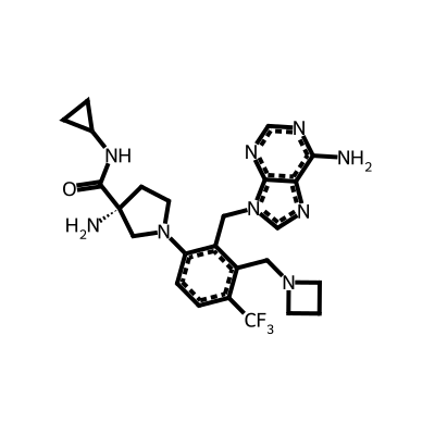 Nc1ncnc2c1ncn2Cc1c(N2CC[C@](N)(C(=O)NC3CC3)C2)ccc(C(F)(F)F)c1CN1CCC1